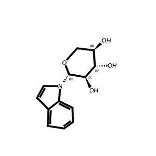 O[C@@H]1[C@@H](O)[C@H](n2ccc3ccccc32)OC[C@H]1O